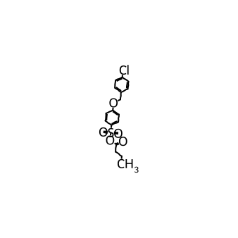 CCCC(=O)OS(=O)(=O)c1ccc(OCc2ccc(Cl)cc2)cc1